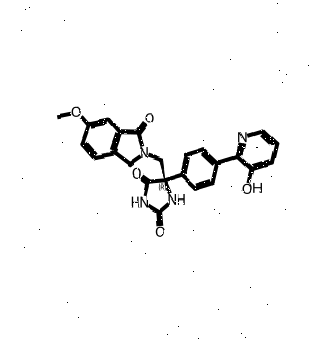 COc1ccc2c(c1)C(=O)N(C[C@@]1(c3ccc(-c4ncccc4O)cc3)NC(=O)NC1=O)C2